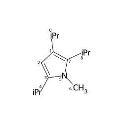 CC(C)c1cc(C(C)C)n(C)c1C(C)C